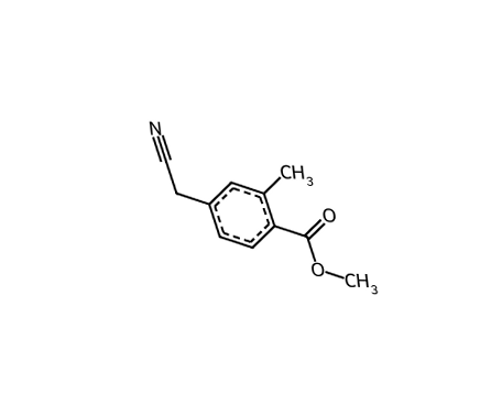 COC(=O)c1ccc(CC#N)cc1C